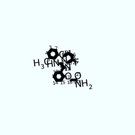 Cc1cccc(C)c1Nc1c(-c2ccccc2OCC(N)=O)nc2c(F)cccn12